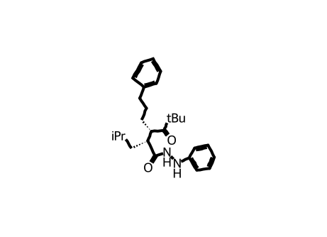 CC(C)C[C@@H](C(=O)NNc1ccccc1)[C@H](CCCc1ccccc1)C(=O)C(C)(C)C